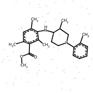 COC(=O)c1c(C)cc(C)c(NC2CCN(c3ccccc3C)CC2C)c1C